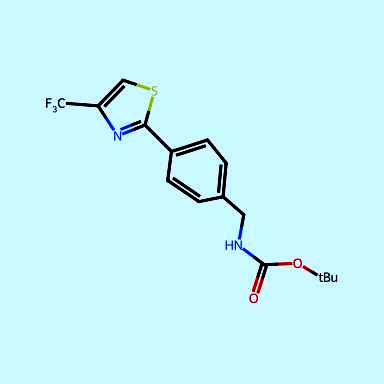 CC(C)(C)OC(=O)NCc1ccc(-c2nc(C(F)(F)F)cs2)cc1